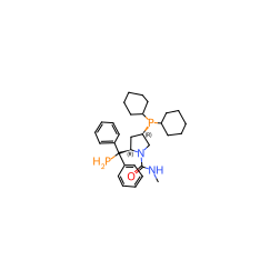 CNC(=O)N1C[C@H](P(C2CCCCC2)C2CCCCC2)C[C@@H]1C(P)(c1ccccc1)c1ccccc1